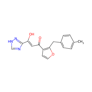 Cc1ccc(Cc2occc2C(=O)C=C(O)c2nc[nH]n2)cc1